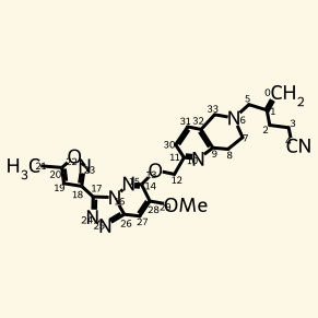 C=C(CCC#N)CN1CCc2nc(COc3nn4c(-c5cc(C)on5)nnc4cc3OC)ccc2C1